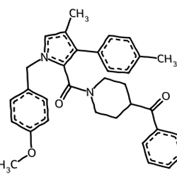 COc1ccc(Cn2cc(C)c(-c3ccc(C)cc3)c2C(=O)N2CCC(C(=O)c3ccccc3)CC2)cc1